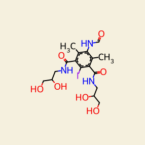 Cc1c(NC=O)c(C)c(C(=O)NCC(O)CO)c(I)c1C(=O)NCC(O)CO